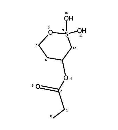 CCC(=O)OC1CCOS(O)(O)C1